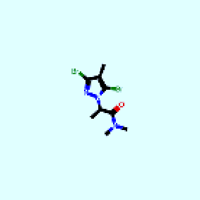 Cc1c(Br)nn(C(C)C(=O)N(C)C)c1Br